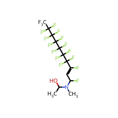 CC(O)N(C)C(F)C=C(F)C(F)(F)C(F)(F)C(F)(F)C(F)(F)C(F)(F)C(F)(F)C(F)(F)F